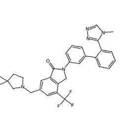 Cn1cnnc1-c1ccccc1-c1cccc(N2Cc3c(cc(CN4CCC5(CC5)C4)cc3C(F)(F)F)C2=O)c1